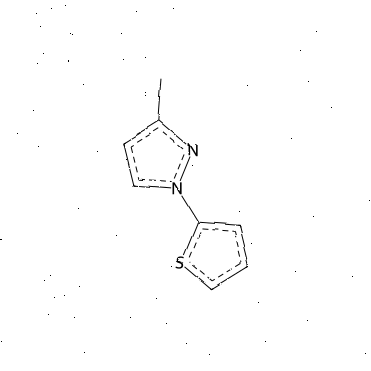 Cc1ccn(-c2cccs2)n1